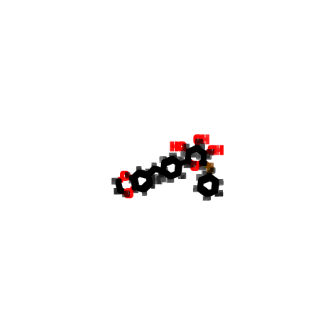 CCC1(Cc2ccc3c(c2)OCCO3)C=CC([C@@H]2OC(Sc3ccccc3)[C@@H](O)[C@H](O)[C@H]2O)=CC1